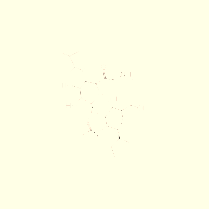 CCC(C)[C@@H]1OC(CO)[C@@H](O)C(O[C@@H]2OC(C(=O)ON)[C@@H](OC(C)C(C)C)C(O)C2O)C1NC(C)=O